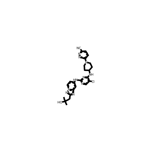 CC(C)(O)Cc1nc2cc(Nc3ncc(Cl)c(NC4CCN(c5ccc(C#N)nn5)CC4)n3)ccn2n1